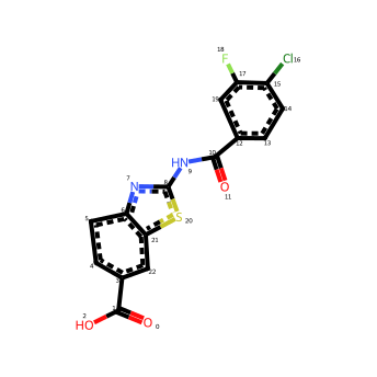 O=C(O)c1ccc2nc(NC(=O)c3ccc(Cl)c(F)c3)sc2c1